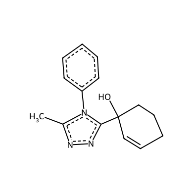 Cc1nnc(C2(O)C=CCCC2)n1-c1ccccc1